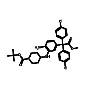 COC(=O)C(c1ccc(Cl)cc1)(c1ccc(Cl)cc1)c1ccc(N)c(NC2CCN(C(=O)OC(C)(C)C)CC2)c1